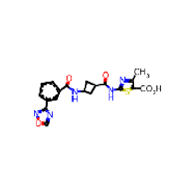 Cc1nc(NC(=O)C2CC(NC(=O)c3cccc(-c4ncon4)c3)C2)sc1C(=O)O